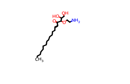 CCCCCCCCCCCCCC=CC(=O)C(OCCN)C(O)CO